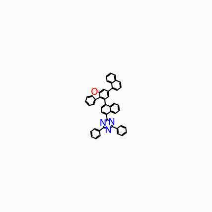 c1ccc(-c2nc(-c3ccccc3)nc(-c3ccc(-c4cc(-c5cccc6ccccc56)cc5oc6ccccc6c45)c4ccccc34)n2)cc1